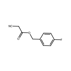 N#CCC(=O)OCc1ccc(F)cc1